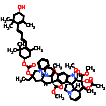 CCC1(OC(=O)O[C@@H]2CC(C)=C(/C=C/C=C/C3=C(C)C[C@@H](O)CC3(C)C)C(C)(C)C2)C[C@H]2C[N@](CC/C=C(\Nc3ccccc3)[C@@](C(=O)OC)(c3cc4c(cc3OC)N(OC)[C@@H]3[C@]45CCN4CC=C[C@@](CC)(C(OC(C)=O)[C@]3(O)C(=O)OC)[C@H]45)C2)C1